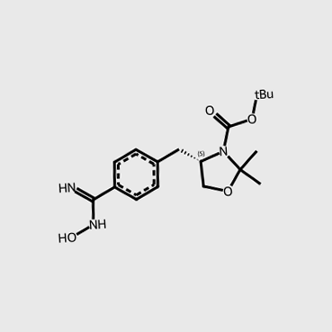 CC(C)(C)OC(=O)N1[C@@H](Cc2ccc(C(=N)NO)cc2)COC1(C)C